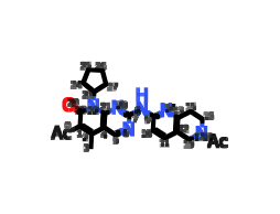 CC(=O)c1c(C)c2cnc(Nc3ccc4c(n3)CCN(C(C)=O)C4)nc2n(C2CCCC2)c1=O